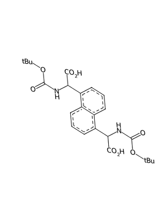 CC(C)(C)OC(=O)NC(C(=O)O)c1cccc2c(C(NC(=O)OC(C)(C)C)C(=O)O)cccc12